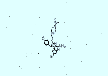 COc1ccc(Cn2c(CCCN3CCN(C(C)=O)CC3)nc3c(N)nc4cc(Br)sc4c32)cc1